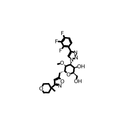 CO[C@@H]1[C@@H](n2cc(-c3ccc(F)c(F)c3F)nn2)[C@@H](O)[C@@H](CO)O[C@@H]1Cc1cc(C2(C)CCOCC2)no1